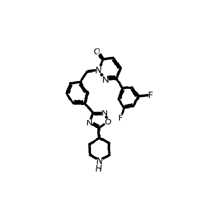 O=c1ccc(-c2cc(F)cc(F)c2)nn1Cc1cccc(-c2noc(C3CCNCC3)n2)c1